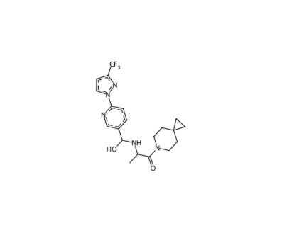 CC(NC(O)c1ccc(-n2ccc(C(F)(F)F)n2)nc1)C(=O)N1CCC2(CC1)CC2